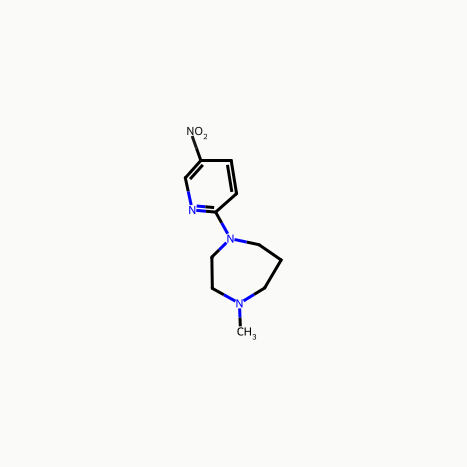 CN1CCCN(c2ccc([N+](=O)[O-])cn2)CC1